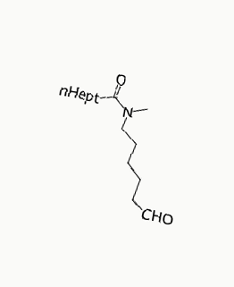 CCCCCCCC(=O)N(C)CCCCCC=O